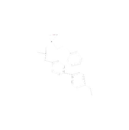 CCc1ccc(-c2ccc(CC(C)(C)CC3(COc4ccccc4)CO3)cc2)cc1